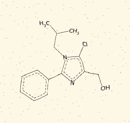 CC(C)Cn1c(-c2ccccc2)nc(CO)c1Cl